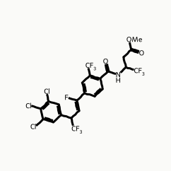 COC(=O)CC(NC(=O)c1ccc(/C(F)=C/C(c2cc(Cl)c(Cl)c(Cl)c2)C(F)(F)F)cc1C(F)(F)F)C(F)(F)F